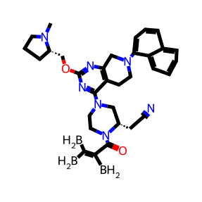 BC(B)=C(B)C(=O)N1CCN(c2nc(OC[C@@H]3CCCN3C)nc3c2CCN(c2cccc4ccccc24)C3)C[C@@H]1CC#N